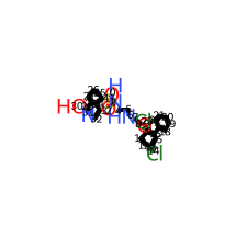 O=S(=O)(NCCNCCOc1ccc(Cl)cc1-c1ccccc1Cl)c1cccc2c(O)nccc12